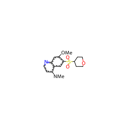 CNc1ccnc2cc(OC)c(S(=O)(=O)C3CCOCC3)cc12